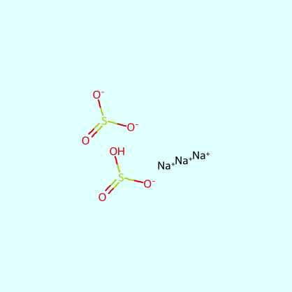 O=S([O-])O.O=S([O-])[O-].[Na+].[Na+].[Na+]